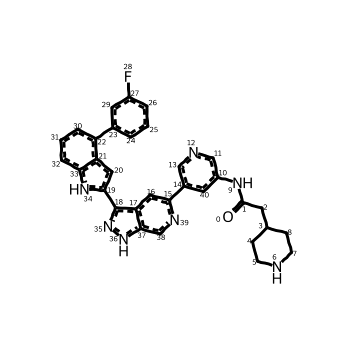 O=C(CC1CCNCC1)Nc1cncc(-c2cc3c(-c4cc5c(-c6cccc(F)c6)cccc5[nH]4)n[nH]c3cn2)c1